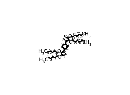 CCCCCCOc1csc(-c2ccc(-c3scc(OCCCCCC)c3OCCCCCC)cc2)c1OCCCCCC